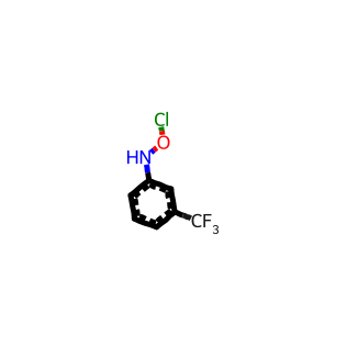 FC(F)(F)c1cccc(NOCl)c1